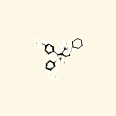 O=C1c2c(nn(-c3cccc(Cl)c3)c2-c2ccc(Cl)cc2)CN1C1CCCCC1